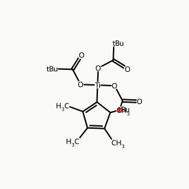 CC1=C(C)C(C)[C]([Ti]([O]C(=O)C(C)(C)C)([O]C(=O)C(C)(C)C)[O]C(=O)C(C)(C)C)=C1C